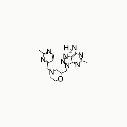 Cc1nccc(CN2CCOC(Cn3nnc4c(N)nc(C)nc43)C2)n1